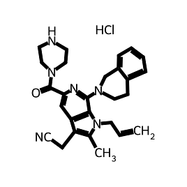 C=CCn1c(C)c(CC#N)c2cc(C(=O)N3CCNCC3)nc(N3CCc4ccccc4C3)c21.Cl